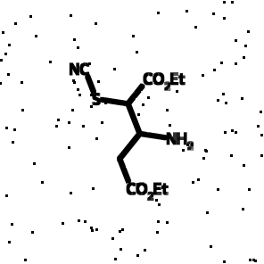 CCOC(=O)CC(N)C(SC#N)C(=O)OCC